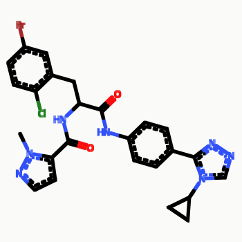 Cn1nccc1C(=O)NC(Cc1cc(Br)ccc1Cl)C(=O)Nc1ccc(-c2nncn2C2CC2)cc1